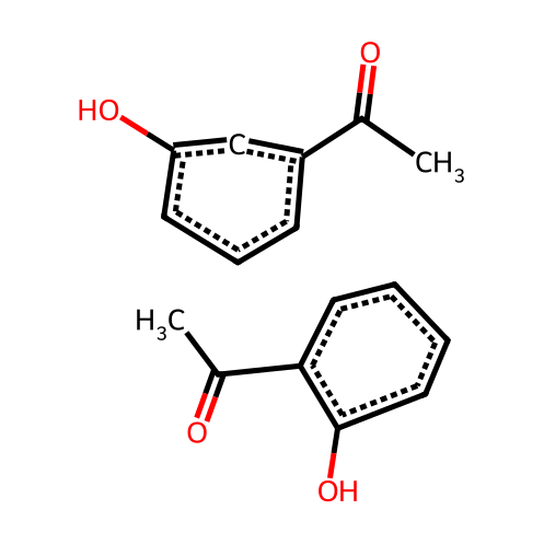 CC(=O)c1cccc(O)c1.CC(=O)c1ccccc1O